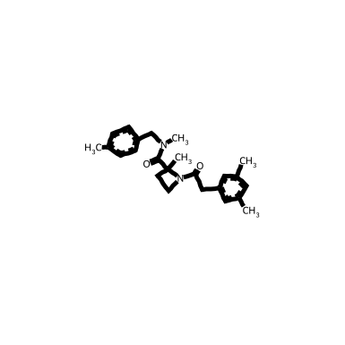 Cc1ccc(CN(C)C(=O)C2(C)CCN2C(=O)Cc2cc(C)cc(C)c2)cc1